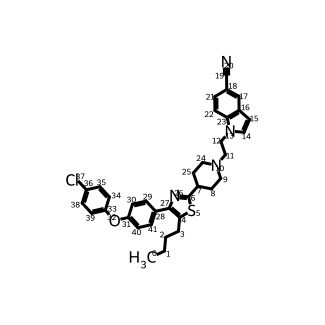 CCCCc1sc(C2CCN(CCn3ccc4cc(C#N)ccc43)CC2)nc1-c1ccc(Oc2ccc(Cl)cc2)cc1